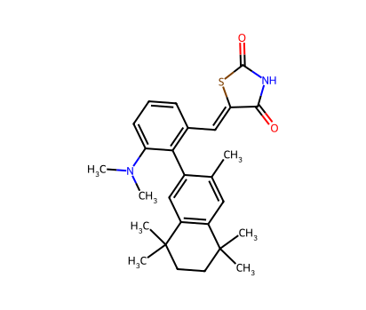 Cc1cc2c(cc1-c1c(C=C3SC(=O)NC3=O)cccc1N(C)C)C(C)(C)CCC2(C)C